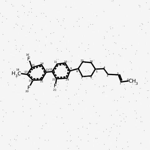 C/C=C/CCC1CCC(c2ccc(-c3cc(F)c(C)c(F)c3)c(F)c2)CC1